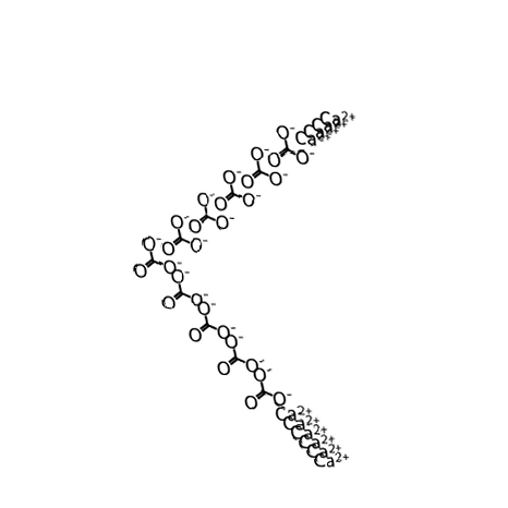 O=C([O-])[O-].O=C([O-])[O-].O=C([O-])[O-].O=C([O-])[O-].O=C([O-])[O-].O=C([O-])[O-].O=C([O-])[O-].O=C([O-])[O-].O=C([O-])[O-].O=C([O-])[O-].[Ca+2].[Ca+2].[Ca+2].[Ca+2].[Ca+2].[Ca+2].[Ca+2].[Ca+2].[Ca+2].[Ca+2]